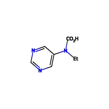 CCN(C(=O)O)c1cncnc1